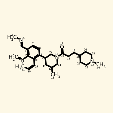 C=Nc1c(/C=N/C)ccc(C2CC(C)CN(C(=O)CCC3CCN(C)CC3)C2)c1/C=C\C